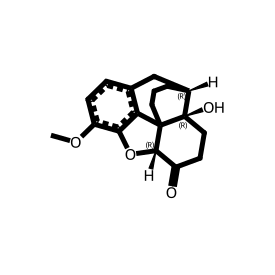 COc1ccc2c3c1O[C@H]1C(=O)CC[C@@]4(O)[C@H](CCCC314)C2